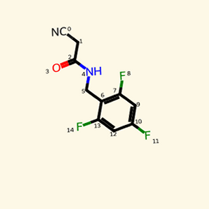 N#CCC(=O)NCc1c(F)cc(F)cc1F